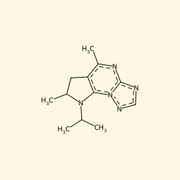 Cc1nc2ncnn2c2c1CC(C)N2C(C)C